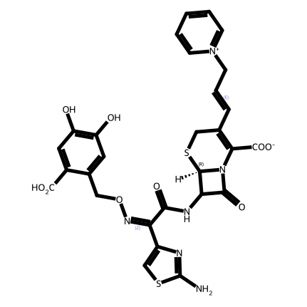 Nc1nc(/C(=N/OCc2cc(O)c(O)cc2C(=O)O)C(=O)NC2C(=O)N3C(C(=O)[O-])=C(/C=C/C[n+]4ccccc4)CS[C@H]23)cs1